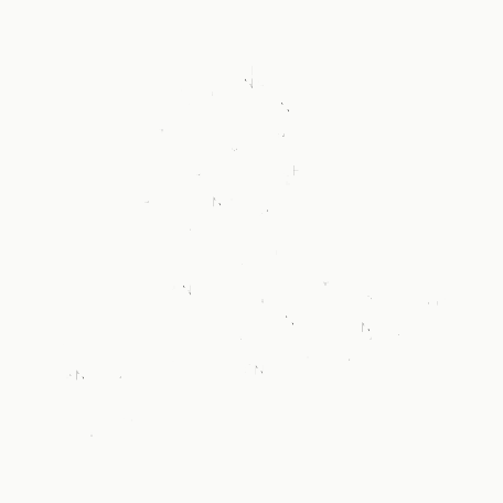 C=CC(=O)N1CCN(c2c(C#N)c(OC[C@@H]3CCCN3C)nc3c2CCN(c2c(C)ccc4[nH]nc(C(F)(F)F)c24)C3)CC1